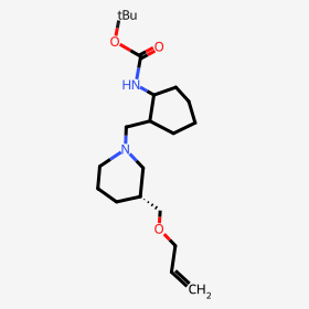 C=CCOC[C@@H]1CCCN(CC2CCCCC2NC(=O)OC(C)(C)C)C1